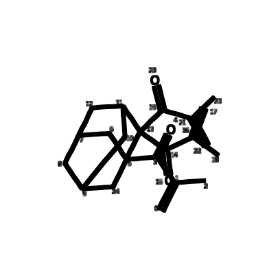 C=C(C)C(=O)C12CC3CC(CC(C3)C1(C(=O)C(=C)C)C(=O)C(=C)C)C2